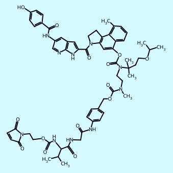 Cc1cccc2c(OC(=O)N(CCN(C)C(=O)OCc3ccc(NC(=O)CNC(=O)C(NC(=O)OCCN4C(=O)C=CC4=O)C(C)C)cc3)C(C)(C)CCOC(C)C)cc3c(c12)CCN3C(=O)c1cc2cc(NC(=O)c3ccc(O)cc3)cnc2[nH]1